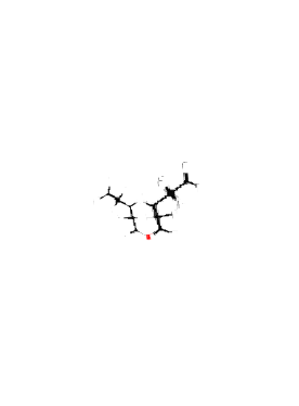 FC(F)C(F)(F)C(OC(C(F)(F)C(F)F)C(F)(F)C(F)F)C(F)(F)C(F)F